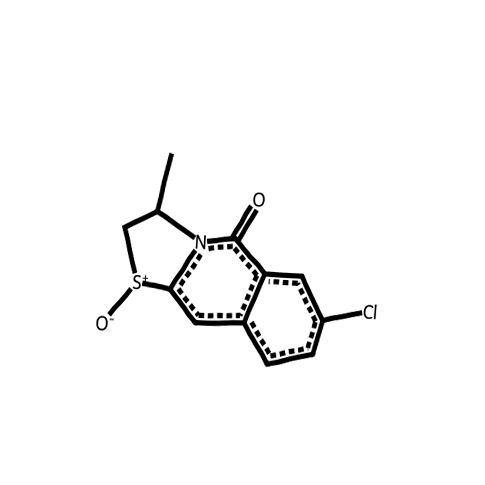 CC1C[S+]([O-])c2cc3ccc(Cl)cc3c(=O)n21